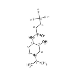 CC(C)N1CCC(NC(=O)CCC(F)(F)F)C(O)C1